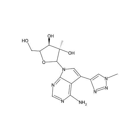 Cn1cc(-c2cn(C3OC(CO)[C@@H](O)[C@@]3(C)O)c3ncnc(N)c23)nn1